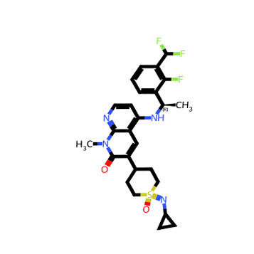 C[C@@H](Nc1ccnc2c1cc(C1CCS(=O)(=NC3CC3)CC1)c(=O)n2C)c1cccc(C(F)F)c1F